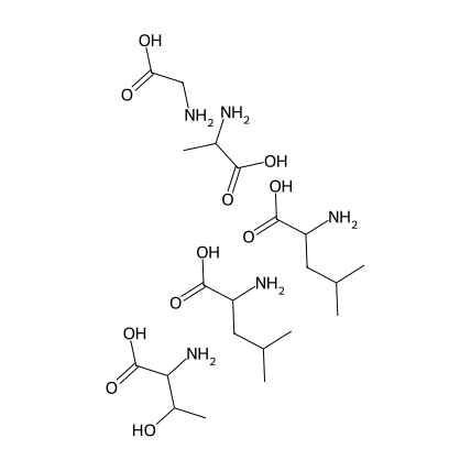 CC(C)CC(N)C(=O)O.CC(C)CC(N)C(=O)O.CC(N)C(=O)O.CC(O)C(N)C(=O)O.NCC(=O)O